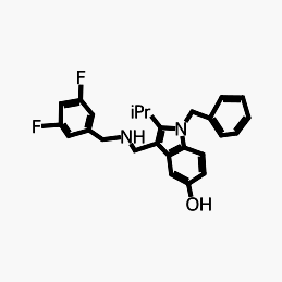 CC(C)c1c(CNCc2cc(F)cc(F)c2)c2cc(O)ccc2n1Cc1ccccc1